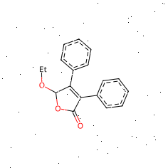 CCOC1OC(=O)C(c2ccccc2)=C1c1ccccc1